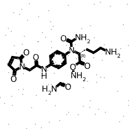 NC=O.NCCC[C@H](C(=O)ON)N(C(N)=O)c1ccc(NC(=O)CN2C(=O)C=CC2=O)cc1